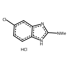 CNc1nc2cc(Cl)ccc2[nH]1.Cl